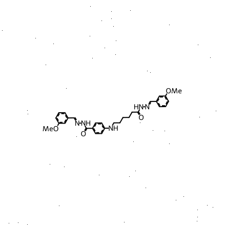 COc1cccc(/C=N/NC(=O)CCCCCNc2ccc(C(=O)N/N=C/c3cccc(OC)c3)cc2)c1